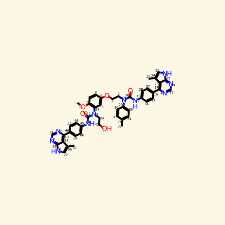 COc1ccc(OCCN(C(=O)Nc2ccc(-c3ncnc4[nH]cc(C)c34)cc2)c2ccc(C)cc2)cc1N(CCO)C(=O)Nc1ccc(-c2ncnc3[nH]cc(C)c23)cc1